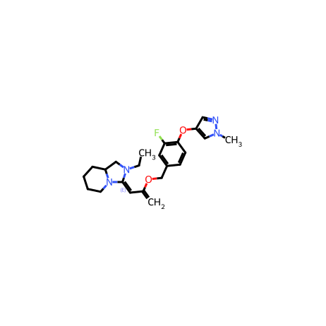 C=C(/C=C1\N(CC)CC2CCCCN12)OCc1ccc(Oc2cnn(C)c2)c(F)c1